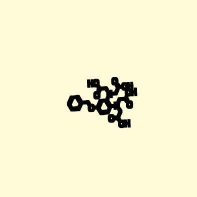 O=C(O)CN(CC(=O)O)c1ccc(OCc2ccccc2)cc1N(CC(=O)O)CC(=O)O